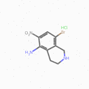 Cl.Nc1c([N+](=O)[O-])cc(Br)c2c1CCNC2